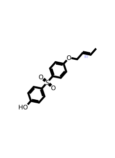 C/C=C/COc1ccc(S(=O)(=O)c2ccc(O)cc2)cc1